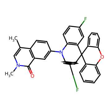 Cc1cn(C)c(=O)c2cc(N3c4ccc(F)cc4C4(c5ccccc5Oc5ccccc54)c4cc(F)ccc43)ccc12